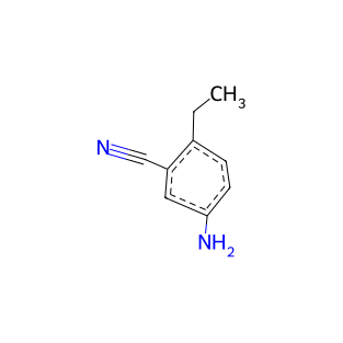 CCc1ccc(N)cc1C#N